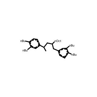 CCCCCCCCC([CH]C(C)c1ccc(CCCC)c(CCCC)c1)Cc1ccc(CCCC)c(CCCC)c1